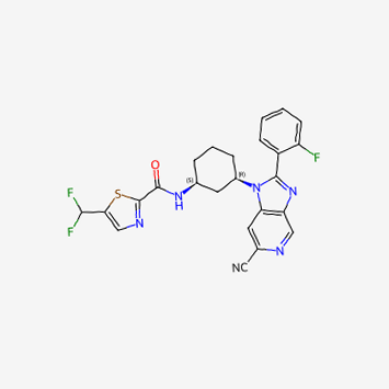 N#Cc1cc2c(cn1)nc(-c1ccccc1F)n2[C@@H]1CCC[C@H](NC(=O)c2ncc(C(F)F)s2)C1